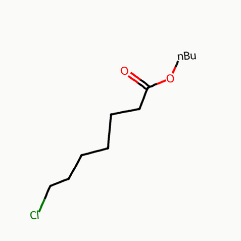 CCCCOC(=O)CCCCCCCl